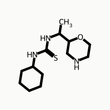 CC(NC(=S)NC1CCCCC1)C1CNCCO1